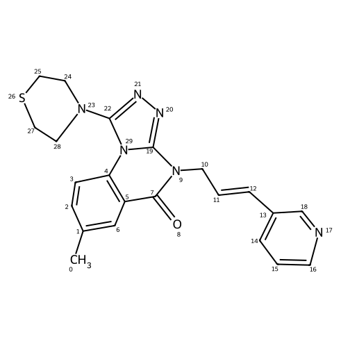 Cc1ccc2c(c1)c(=O)n(CC=Cc1cccnc1)c1nnc(N3CCSCC3)n21